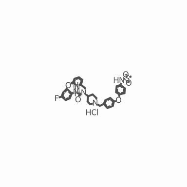 CS(=O)(=O)Nc1ccc(Oc2ccc(CN3CCC(N(Cc4cccc(=O)[nH]4)C(=O)Nc4ccc(F)cc4)CC3)cc2)cc1.Cl